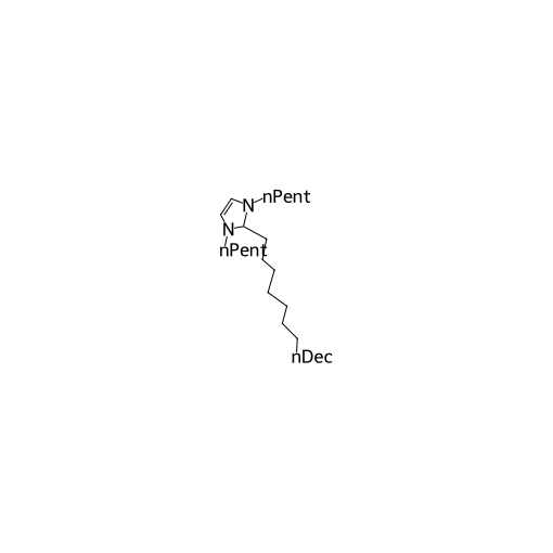 CCCCCCCCCCCCCCCCCC1N(CCCCC)C=CN1CCCCC